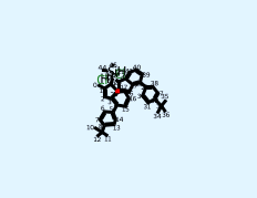 CC1=Cc2c(-c3ccc(C(C)(C)C)cc3)cccc2[CH]1[Hf]([Cl])([Cl])([CH]1C(C)=Cc2c(-c3ccc(C(C)(C)C)cc3)cccc21)[SiH](C)C